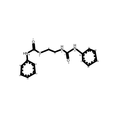 O=C(NCCSC(=O)Nc1ccccc1)Nc1ccccc1